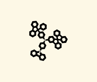 c1ccc(C2(c3ccc(N(c4ccc(-n5c6ccccc6c6ccccc65)cc4)c4ccc5c(c4)-c4ccccc4C54c5ccccc5-c5ccccc54)cc3)c3ccccc3-c3ccccc32)cc1